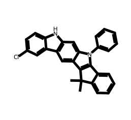 CC1(C)c2ccccc2-c2c1c1cc3c(cc1n2-c1ccccc1)[nH]c1ccc(Cl)cc13